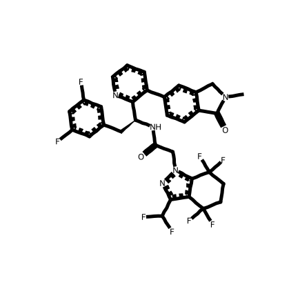 CN1Cc2cc(-c3cccnc3[C@H](Cc3cc(F)cc(F)c3)NC(=O)Cn3nc(C(F)F)c4c3C(F)(F)CCC4(F)F)ccc2C1=O